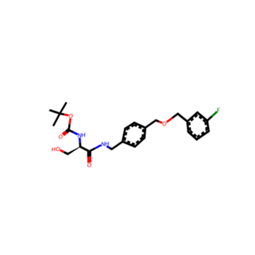 CC(C)(C)OC(=O)N[C@H](CO)C(=O)NCc1ccc(COCc2cccc(F)c2)cc1